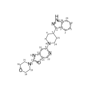 c1ccc2c(C3CCN(c4cc5nc(N6CCOCC6)oc5cn4)CC3)n[nH]c2c1